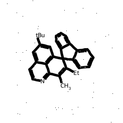 CCC1=C(C)c2nccc3cc(C(C)(C)C)cc(c23)C12c1ccccc1-c1ccccc12